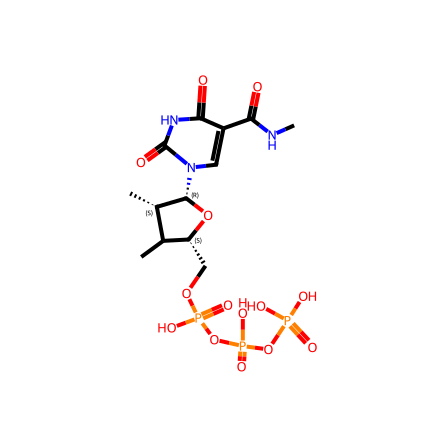 CNC(=O)c1cn([C@@H]2O[C@H](COP(=O)(O)OP(=O)(O)OP(=O)(O)O)C(C)[C@@H]2C)c(=O)[nH]c1=O